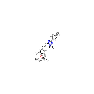 Cc1cc(CCCc2nc(-c3ccc(C(F)(F)F)cc3)nn2C)ccc1OC(C)(C)C(=O)O